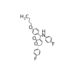 CCCCOc1ccc([C@@H](Nc2ccc(F)cc2)C2=CC[C@H](c3ccc(F)cc3)OC2=O)cc1